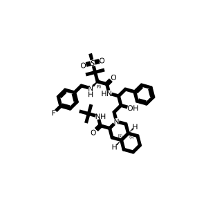 CC(C)(C)NC(=O)C1C[C@@H]2CCCC[C@@H]2CN1CC(O)C(Cc1ccccc1)NC(=O)[C@@H](NCc1ccc(F)cc1)C(C)(C)S(C)(=O)=O